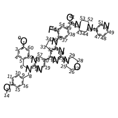 COc1ccc(CN(Cc2ccc(OC)cc2)c2ncc(-c3nc(N4CCOCC4)nc4c3CCN4c3ccc(C(=O)N4CCN(c5cccnc5)CC4)cc3F)cn2)cc1